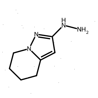 NNc1cc2n(n1)CCCC2